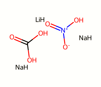 O=C(O)O.O=[N+]([O-])O.[LiH].[NaH].[NaH]